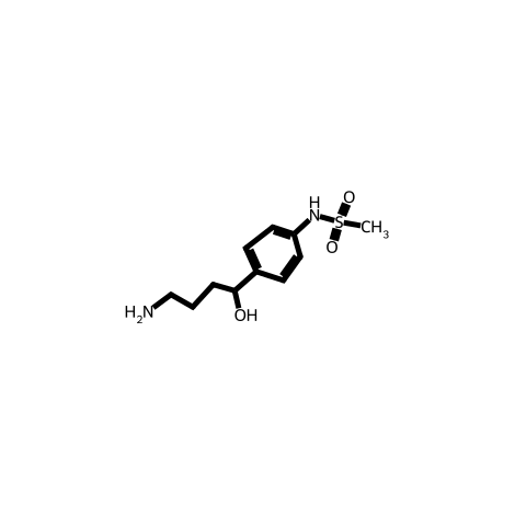 CS(=O)(=O)Nc1ccc(C(O)CCCN)cc1